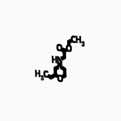 CCOC(=O)CNN1CCOC(CC)C1